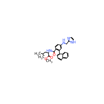 COC(=O)C(CC(C)C)NC(=O)c1ccc(NCc2ncc[nH]2)cc1-c1cccc2ccccc12